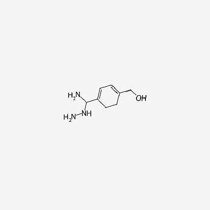 NNC(N)C1=CC=C(CO)CC1